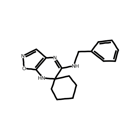 c1ccc(CNC2=Nc3cnoc3NC23CCCCC3)cc1